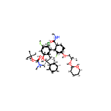 CNC(=O)c1ccc(OC[C@H](C)OC2CCCCO2)c(F)c1-c1c(Cl)c(F)cc2c1[C@H](C)[C@@](CN(C)C(=O)OC(C)(C)C)(c1ccccc1)O2